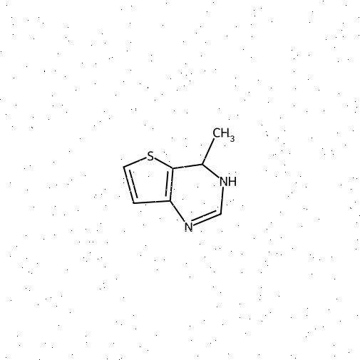 CC1NC=Nc2ccsc21